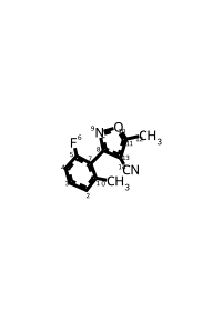 Cc1cccc(F)c1-c1noc(C)c1C#N